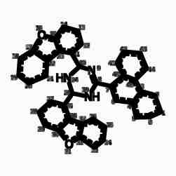 c1ccc2c(c1)cc(C1=NC(c3cccc4oc5ccccc5c34)NC(c3cccc4oc5ccccc5c34)N1)c1ccccc12